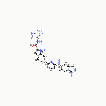 N=C/C(=C\N)NC(=O)c1cc2ccc(-c3nccc(Nc4ccc5[nH]ncc5c4)n3)cc2[nH]1